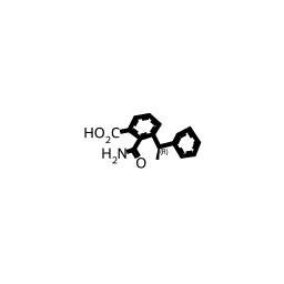 C[C@H](c1ccccc1)c1cccc(C(=O)O)c1C(N)=O